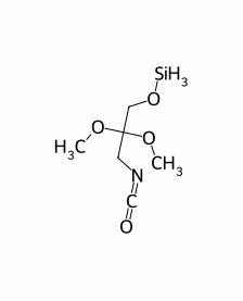 COC(CN=C=O)(CO[SiH3])OC